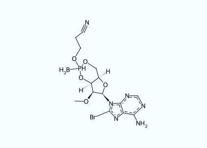 B[PH]1(OCCC#N)OC[C@H]2O[C@@H](n3c(Br)nc4c(N)ncnc43)[C@@H](OC)[C@H]2O1